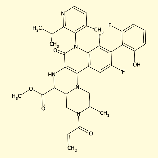 C=CC(=O)N1CC2C(C(=O)OC)Nc3c(c4cc(F)c(-c5c(O)cccc5F)c(F)c4n(-c4c(C)ccnc4C(C)C)c3=O)N2CC1C